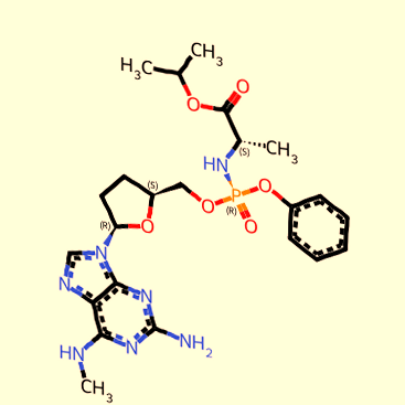 CNc1nc(N)nc2c1ncn2[C@H]1CC[C@@H](CO[P@](=O)(N[C@@H](C)C(=O)OC(C)C)Oc2ccccc2)O1